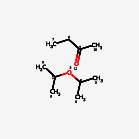 CC(C)OC(C)C.CCC(C)=O